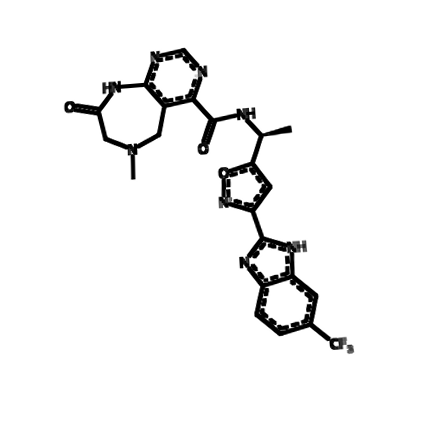 C[C@H](NC(=O)c1ncnc2c1CN(C)CC(=O)N2)c1cc(-c2nc3ccc(C(F)(F)F)cc3[nH]2)no1